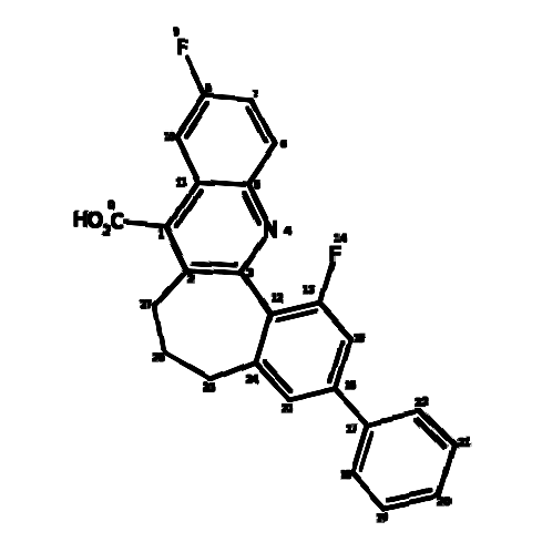 O=C(O)c1c2c(nc3ccc(F)cc13)-c1c(F)cc(-c3ccccc3)cc1CCC2